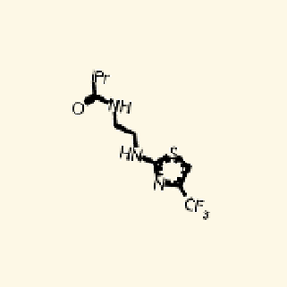 CC(C)C(=O)NCCNc1nc(C(F)(F)F)cs1